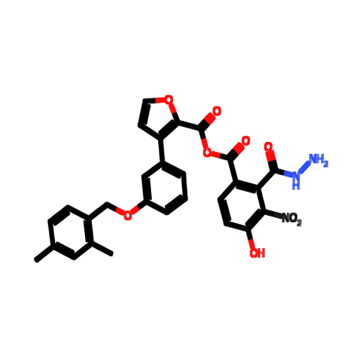 Cc1ccc(COc2cccc(-c3ccoc3C(=O)OC(=O)c3ccc(O)c([N+](=O)[O-])c3C(=O)NN)c2)c(C)c1